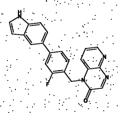 O=c1cnc2ncccc2n1Cc1ccc(-c2ccc3[nH]ccc3c2)cc1F